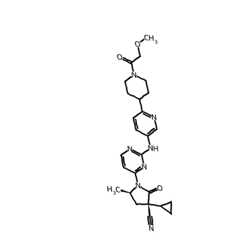 COCC(=O)N1CCC(c2ccc(Nc3nccc(N4C(=O)[C@](C#N)(C5CC5)C[C@H]4C)n3)cn2)CC1